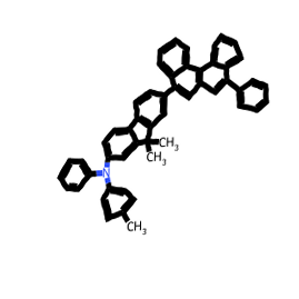 Cc1ccc(N(c2ccccc2)c2ccc3c(c2)C(C)(C)c2cc(-c4cc5cc(-c6ccccc6)c6ccccc6c5c5ccccc45)ccc2-3)cc1